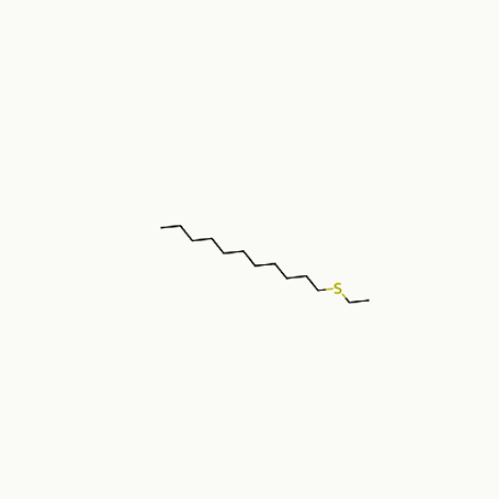 CCCCCCCCCCCSCC